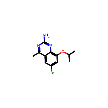 Cc1nc(N)nc2c(OC(C)C)cc(Br)cc12